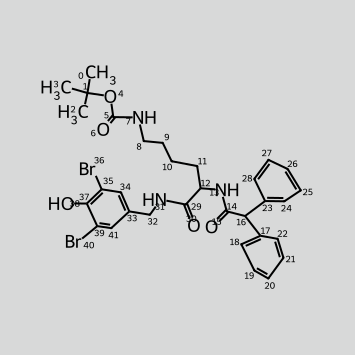 CC(C)(C)OC(=O)NCCCCC(NC(=O)C(c1ccccc1)c1ccccc1)C(=O)NCc1cc(Br)c(O)c(Br)c1